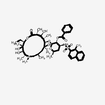 CC[C@H]1OC(=O)[C@H](C)[C@@H](O)[C@H](C)[C@@H](O[C@@H]2O[C@H](C)C[C@H](NS(=O)(=O)c3ccc4ccccc4c3C)[C@H]2OC(=O)c2ccccc2)[C@@](C)(O)C[C@@H](C)CN(C)[C@H](C)[C@@H](O)[C@]1(C)O